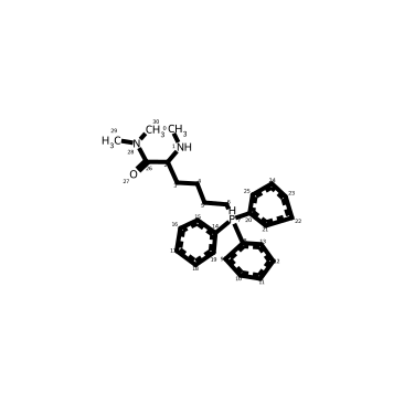 CNC(CCCC[PH](c1ccccc1)(c1ccccc1)c1ccccc1)C(=O)N(C)C